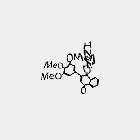 COc1cc(C2=CC(=O)c3ccccc3C2=O)cc(OC)c1OC.c1c[nH]cn1